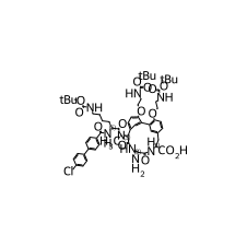 CN(C(=O)[C@H](CCCCNC(=O)OC(C)(C)C)NC(=O)c1ccc(-c2ccc(Cl)cc2)cc1)[C@@H]1C(=O)N[C@@H](N)C(=O)N[C@H](C(=O)O)Cc2ccc(OCCNC(=O)OC(C)(C)C)c(c2)-c2cc1ccc2OCCNC(=O)OC(C)(C)C